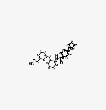 CCOCC1CCCN(C[C@@H]2CCCC[C@H]2NC(=O)c2ccc(-n3cccn3)nc2)C1